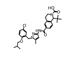 Cc1cc(NC(=O)c2ccc3c(c2)CCN(C(=O)O)C3C(C)(C)C)nn1Cc1cc(Cl)ccc1OCC(C)C